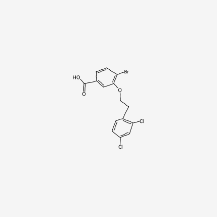 O=C(O)c1ccc(Br)c(OCCc2ccc(Cl)cc2Cl)c1